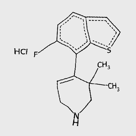 CC1(C)CNCC=C1c1c(F)ccc2ccsc12.Cl